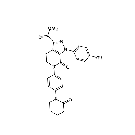 COC(=O)c1nn(-c2ccc(O)cc2)c2c1CCN(c1ccc(N3CCCCC3=O)cc1)C2=O